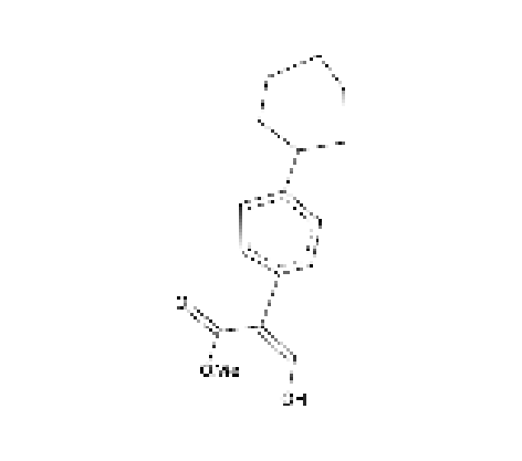 COC(=O)/C(=C\O)c1ccc(C2CCCCC2)cc1